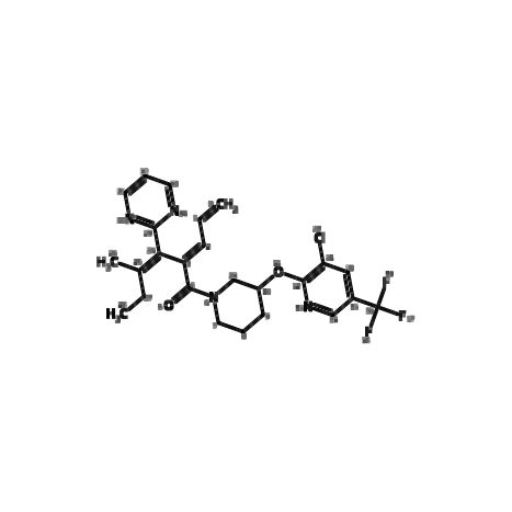 C=C/C=C(C(=O)N1CCCC(Oc2ncc(C(F)(F)F)cc2Cl)C1)\C(=C(\C)CC)c1ncccn1